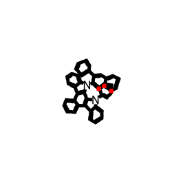 c1ccc(-c2cc3ccccc3cc2-n2c3ccccc3c3c4ccccc4c4c5ccccc5n(-c5ccccc5)c4c32)cc1